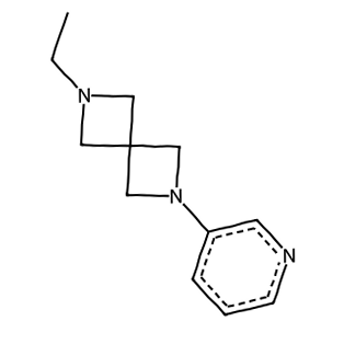 CCN1CC2(C1)CN(c1cccnc1)C2